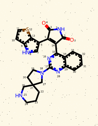 O=C1NC(=O)C(c2c[nH]c3ccsc23)=C1c1nc(N2CCC3(CCCNC3)C2)nc2ccccc12